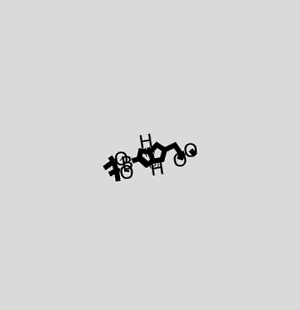 COC(=O)CC1C[C@H]2CC(B3OC(C)(C)C(C)(C)O3)=C[C@H]2C1